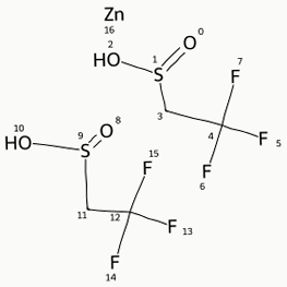 O=S(O)CC(F)(F)F.O=S(O)CC(F)(F)F.[Zn]